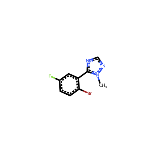 Cn1ncnc1-c1cc(F)ccc1Br